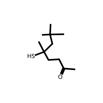 CC(=O)CCC(C)(S)CC(C)(C)C